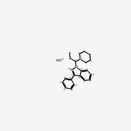 CCC(N1CCCCC1)n1nc(-c2ccccc2)c2ccccc21.Cl